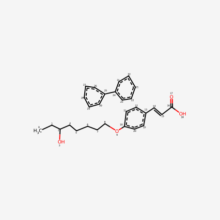 CCC(O)CCCCCOc1ccc(/C=C/C(=O)O)cc1.c1ccc(-c2ccccc2)cc1